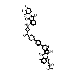 CCN(C)S(=O)(=O)Nc1ccc(F)c(C(=O)c2c[nH]c3ncc(-c4ccc(N5CCN(C(=O)C6CC(Nc7cccc8c7C(=O)N(C7CCC(=O)NC7=O)C8=O)C6)CC5)nc4)cc23)c1F